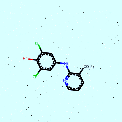 CCOC(=O)c1cccnc1Nc1cc(Cl)c(O)c(Cl)c1